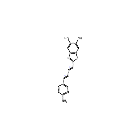 Nc1ccc(/C=C/C=C/c2nc3cc(O)c(O)cc3s2)cn1